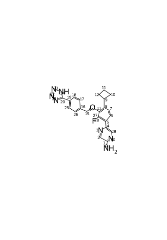 Nc1cnc(-c2ccc(C3CCC3)c(OCc3ccc(-c4nnn[nH]4)cc3)c2F)cn1